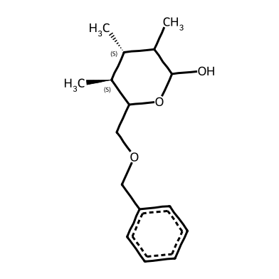 CC1C(O)OC(COCc2ccccc2)[C@@H](C)[C@@H]1C